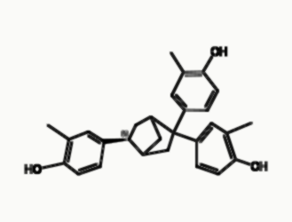 Cc1cc([C@H]2CC3CC2CC3(c2ccc(O)c(C)c2)c2ccc(O)c(C)c2)ccc1O